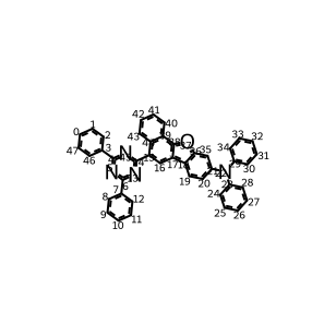 c1ccc(-c2nc(-c3ccccc3)nc(-c3cc4c5ccc(N(c6ccccc6)c6ccccc6)cc5oc4c4ccccc34)n2)cc1